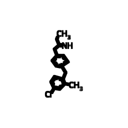 CCC(=N)Cc1ccc(Cc2ccc(Cl)cc2C)cc1